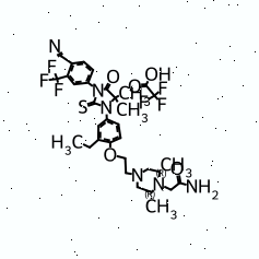 CCc1cc(N2C(=S)N(c3ccc(C#N)c(C(F)(F)F)c3)C(=O)C2(C)C)ccc1OCCN1C[C@@H](C)N(CC(N)=O)[C@H](C)C1.O=C(O)C(F)(F)F